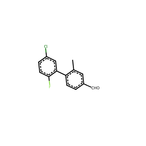 Cc1cc(C=O)ccc1-c1cc(Cl)ccc1F